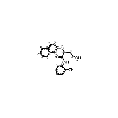 O=C(Nc1ccccc1Cl)C(CCO)Oc1ccc2ccccc2n1